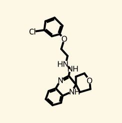 Clc1cccc(OCCNNC2=Nc3ccccc3NC23CCOCC3)c1